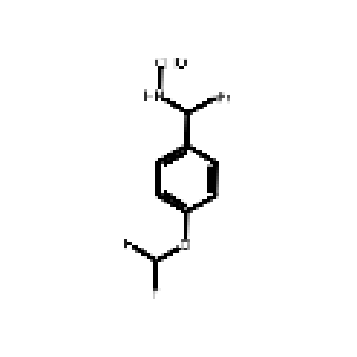 CC(C)C(NC=O)c1ccc(OC(F)F)cc1